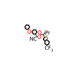 CC(C)C(C(=O)OC(C#N)c1cccc(Oc2ccccc2)c1)c1cc2cc(C(F)(F)F)ccc2s1